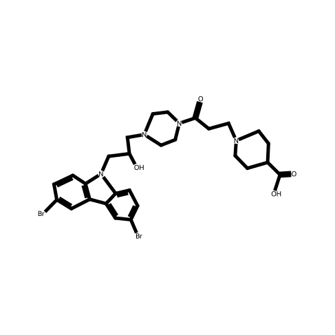 O=C(O)C1CCN(CCC(=O)N2CCN(CC(O)Cn3c4ccc(Br)cc4c4cc(Br)ccc43)CC2)CC1